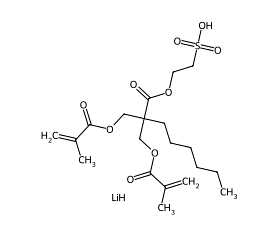 C=C(C)C(=O)OCC(CCCCCC)(COC(=O)C(=C)C)C(=O)OCCS(=O)(=O)O.[LiH]